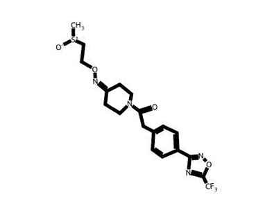 C[S+]([O-])CCON=C1CCN(C(=O)Cc2ccc(-c3noc(C(F)(F)F)n3)cc2)CC1